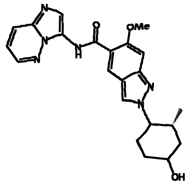 COc1cc2nn(C3CCC(O)C[C@H]3C)cc2cc1C(=O)Nc1cnc2cccnn12